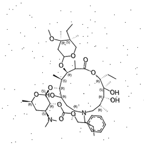 CCCN1C[C@@H](C)[C@@H](O)[C@](C)(O)[C@@H](CC)OC(=O)C(C)[C@H](OC2C[C@@](C)(OC)[C@@](C)(CC)CO2)[C@H](C)[C@@H](O[C@@H]2O[C@H](C)C[C@H](N(C)C)[C@H]2OC(=O)OCc2ccccc2)[C@](C)(O)C[C@H]1C